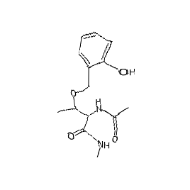 CNC(=O)C(NC(C)=O)C(C)OCc1ccccc1O